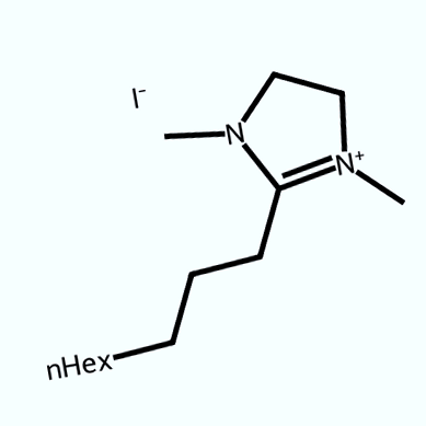 CCCCCCCCCC1=[N+](C)CCN1C.[I-]